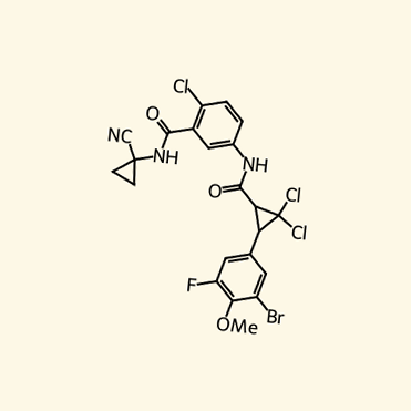 COc1c(F)cc(C2C(C(=O)Nc3ccc(Cl)c(C(=O)NC4(C#N)CC4)c3)C2(Cl)Cl)cc1Br